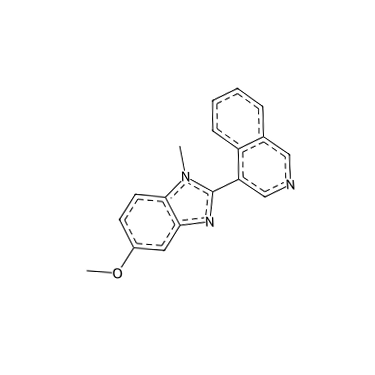 COc1ccc2c(c1)nc(-c1cncc3ccccc13)n2C